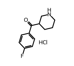 Cl.O=C(c1ccc(F)cc1)C1CCCNC1